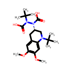 COc1cc2c(cc1OC)N(C(C)(C)C)C[C@@H](N(C(=O)O)N(C(=O)O)C(C)(C)C)C2